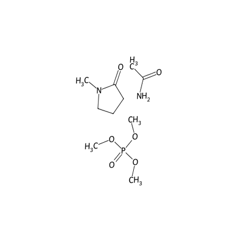 CC(N)=O.CN1CCCC1=O.COP(=O)(OC)OC